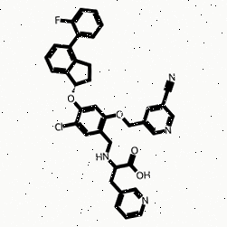 N#Cc1cncc(COc2cc(O[C@H]3CCc4c(-c5ccccc5F)cccc43)c(Cl)cc2CNC(Cc2cccnc2)C(=O)O)c1